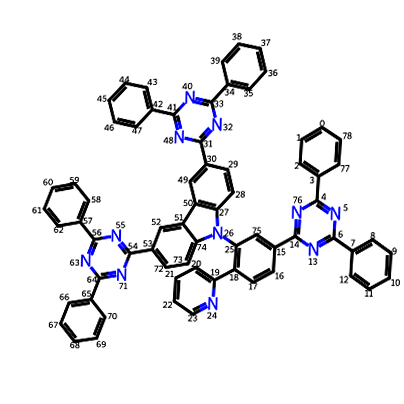 c1ccc(-c2nc(-c3ccccc3)nc(-c3ccc(-c4ccccn4)c(-n4c5ccc(-c6nc(-c7ccccc7)nc(-c7ccccc7)n6)cc5c5cc(-c6nc(-c7ccccc7)nc(-c7ccccc7)n6)ccc54)c3)n2)cc1